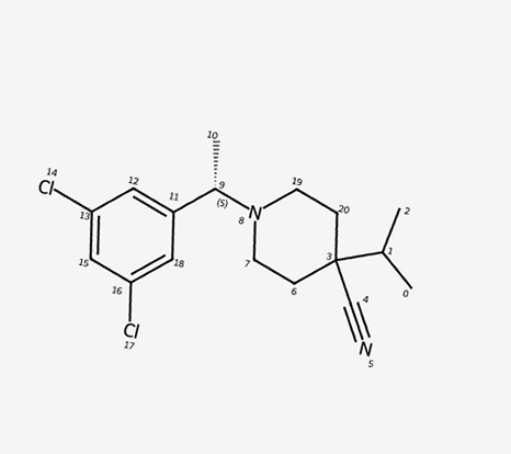 CC(C)C1(C#N)CCN([C@@H](C)c2cc(Cl)cc(Cl)c2)CC1